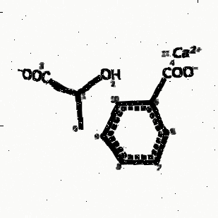 CC(O)C(=O)[O-].O=C([O-])c1ccccc1.[Ca+2]